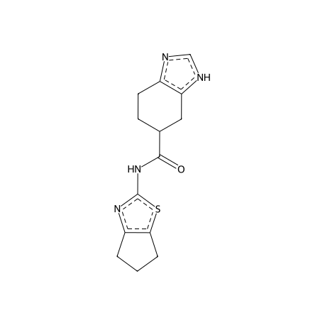 O=C(Nc1nc2c(s1)CCC2)C1CCc2nc[nH]c2C1